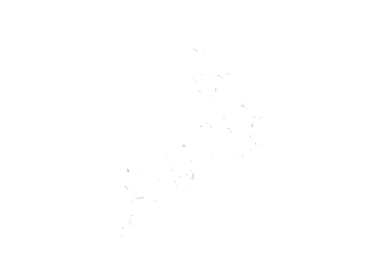 CC(=O)c1coc(-c2cnc3[nH]ccc3c2N[C@H]2C[C@H](NS(=O)(=O)c3cccc(C#N)c3)C2)n1